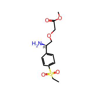 CCS(=O)(=O)c1ccc([C@@H](N)COCC(=O)OC)cc1